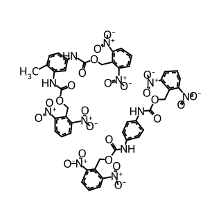 Cc1ccc(NC(=O)OCc2c([N+](=O)[O-])cccc2[N+](=O)[O-])cc1NC(=O)OCc1c([N+](=O)[O-])cccc1[N+](=O)[O-].O=C(Nc1ccc(NC(=O)OCc2c([N+](=O)[O-])cccc2[N+](=O)[O-])cc1)OCc1c([N+](=O)[O-])cccc1[N+](=O)[O-]